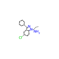 CCC(N)n1nc(-c2ccccc2)c2cc(Cl)ccc21